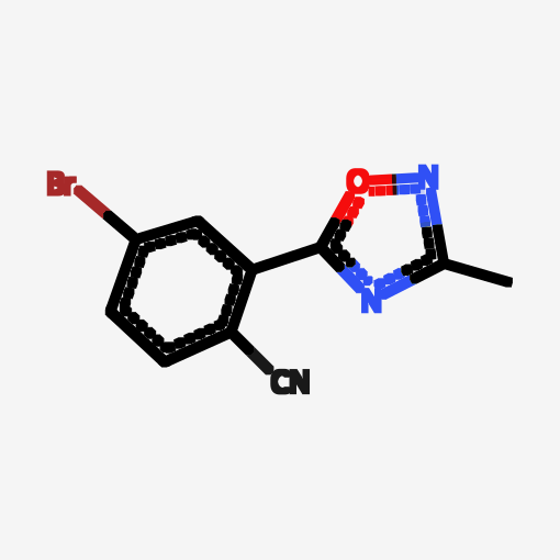 Cc1noc(-c2cc(Br)ccc2C#N)n1